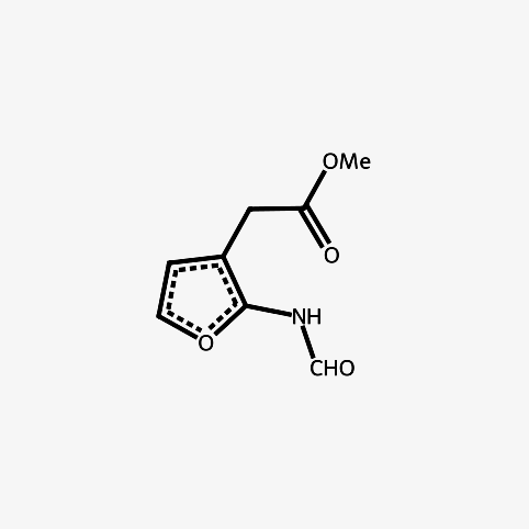 COC(=O)Cc1ccoc1NC=O